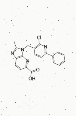 Cc1nc2ccc(C(=O)O)nc2n1Cc1ccc(-c2ccccc2)nc1Cl